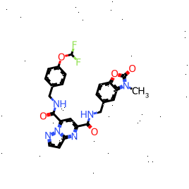 Cn1c(=O)oc2ccc(CNC(=O)c3cc(C(=O)NCc4ccc(OC(F)F)cc4)n4nccc4n3)cc21